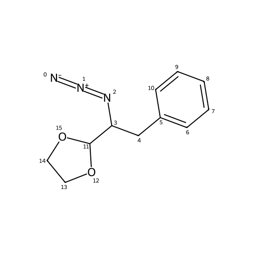 [N-]=[N+]=NC(Cc1ccccc1)C1OCCO1